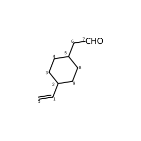 C=CC1CCC(CC=O)CC1